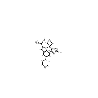 O=c1[nH]c(C2(n3c(C(O)O)cc4cc(C5CCOCC5)ccc43)CCC2)no1